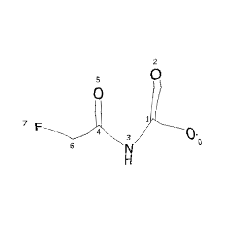 [O]C(=O)NC(=O)CF